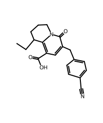 CCC1CCCn2c1c(C(=O)O)cc(Cc1ccc(C#N)cc1)c2=O